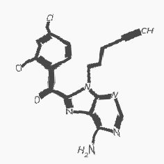 C#CCCCn1c(C(=O)c2ccc(Cl)cc2Cl)nc2c(N)ncnc21